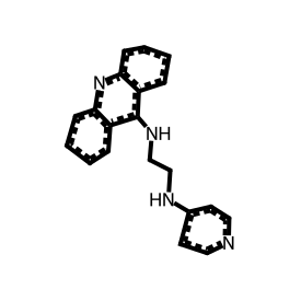 c1ccc2c(NCCNc3ccncc3)c3ccccc3nc2c1